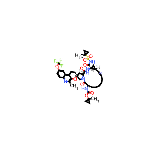 Cc1nc2ccc(OC(F)(F)F)cc2c2c1O[C@]1(CC2)C[C@H]2C(=O)N[C@]3(C(=O)NS(=O)(=O)C4(C)CC4)C[C@H]3/C=C\CCCCC[C@H](NC(=O)OC3(C)CC3)C(=O)N2C1